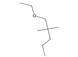 [CH2]CCC(C)(C)COC[CH2]